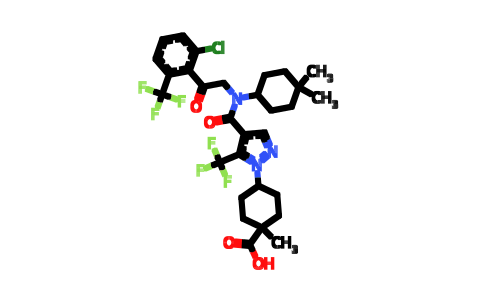 CC1(C)CCC(N(CC(=O)c2c(Cl)cccc2C(F)(F)F)C(=O)c2cnn(C3CCC(C)(C(=O)O)CC3)c2C(F)(F)F)CC1